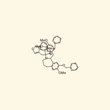 COc1ccc(CC2c3cc(OCc4ccccc4)c(OC)cc3CCCN2C(CC2=COCO2)(C(=O)NCc2ccccc2)c2ccccc2)cc1OC